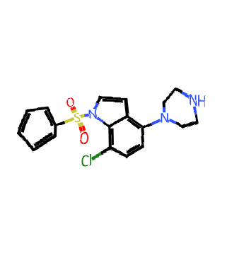 O=S(=O)(c1ccccc1)n1ccc2c(N3CCNCC3)ccc(Cl)c21